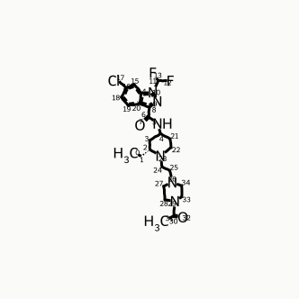 CC[C@@H]1CC(NC(=O)c2nn(C(F)F)c3cc(Cl)ccc23)CCN1CCN1CCN(C(C)=O)CC1